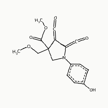 COCC1(C(=O)OC)CN(c2ccc(O)cc2)C(=C=O)C1=C=O